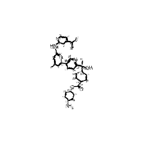 Cc1cc(Nc2cc(C(F)F)ccn2)nc(-c2ccc([C@](C)(O)[C@H]3CC[C@H](C(=O)O[C@H]4CC[C@H](N)CC4)CC3)nc2)c1